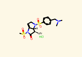 CCC[C@H]1C(=O)N(S(C)(=O)=O)C2=CCN(S(=O)(=O)c3ccc(CN(C)C)cc3)[C@@H]21.Cl